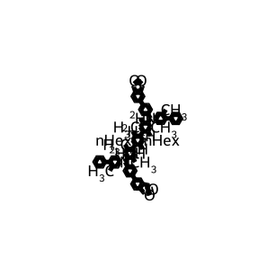 [2H]c1c(C)c(N(c2ccc(-c3ccc4c(c3)CS(=O)(=O)C4)cc2)c2ccc(-c3ccccc3)c(C)c2)c([2H])c(C)c1-c1c([2H])c(CCCCCC)c(-c2c([2H])c(C)c(N(c3ccc(-c4ccc5c(c4)CS(=O)(=O)C5)cc3)c3ccc(-c4ccccc4)c(C)c3)c([2H])c2C)c([2H])c1CCCCCC